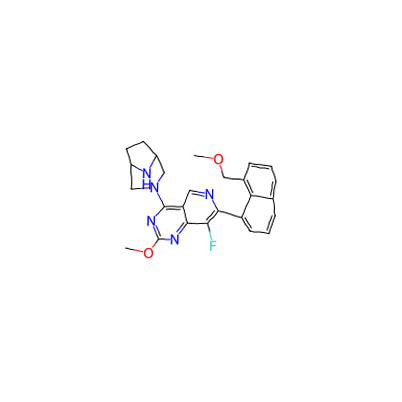 COCc1cccc2cccc(-c3ncc4c(N5CC6CCC(C5)N6)nc(OC)nc4c3F)c12